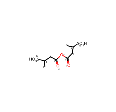 CC(CC(=O)OC(=O)CC(C)S(=O)(=O)O)S(=O)(=O)O